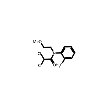 COCCN(C(=O)C(Cl)Cl)c1ccccc1C